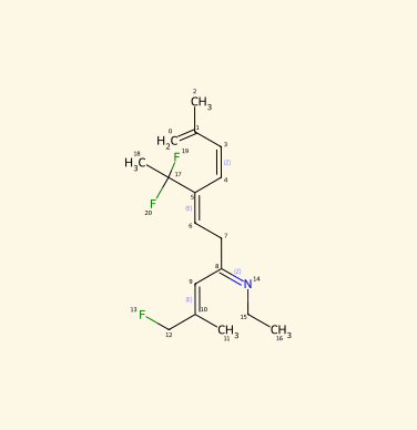 C=C(C)/C=C\C(=C/CC(/C=C(\C)CF)=N/CC)C(C)(F)F